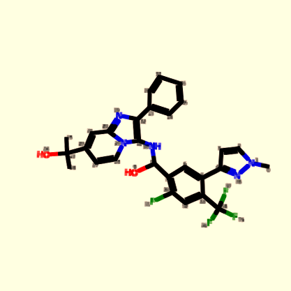 Cn1ccc(-c2cc(C(O)Nc3c(-c4ccccc4)nc4cc(C(C)(C)O)ccn34)c(F)cc2C(F)(F)F)n1